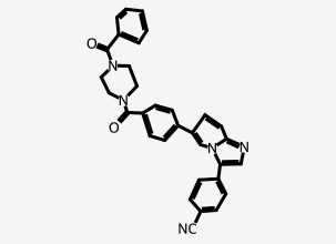 N#Cc1ccc(-c2cnc3ccc(-c4ccc(C(=O)N5CCN(C(=O)c6ccccc6)CC5)cc4)cn23)cc1